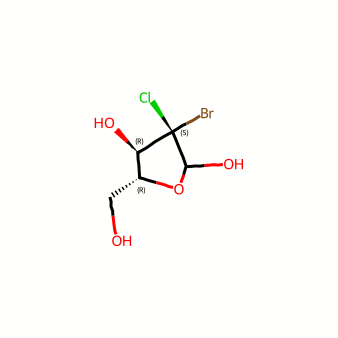 OC[C@H]1OC(O)[C@@](Cl)(Br)[C@@H]1O